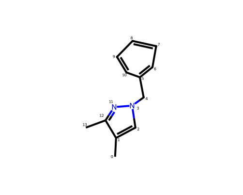 Cc1cn(Cc2ccccc2)nc1C